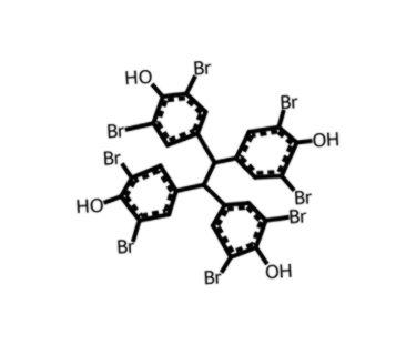 Oc1c(Br)cc(C(c2cc(Br)c(O)c(Br)c2)C(c2cc(Br)c(O)c(Br)c2)c2cc(Br)c(O)c(Br)c2)cc1Br